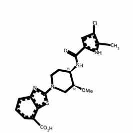 CO[C@H]1CN(c2nc3cccc(C(=O)O)c3s2)CC[C@H]1NC(=O)c1cc(Cl)c(C)[nH]1